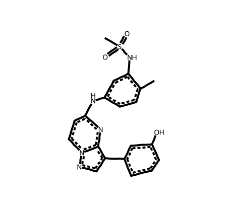 Cc1ccc(Nc2ccn3ncc(-c4cccc(O)c4)c3n2)cc1NS(C)(=O)=O